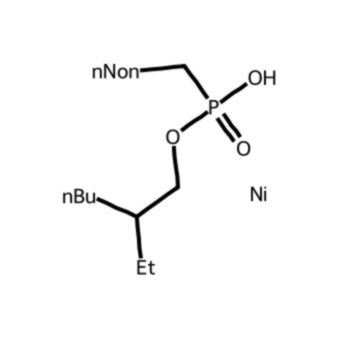 CCCCCCCCCCP(=O)(O)OCC(CC)CCCC.[Ni]